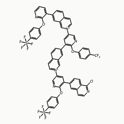 FC(F)(F)c1ccc(Oc2ncc(-[n+]3ccc4ccc(-c5cccnc5Oc5ccc(S(F)(F)(F)(F)F)cc5)cc4c3)cc2-c2ccc3cc[n+](-c4cnc(Oc5ccc(S(F)(F)(F)(F)F)cc5)c(-c5ccc6c(Cl)nccc6c5)c4)cc3c2)cc1